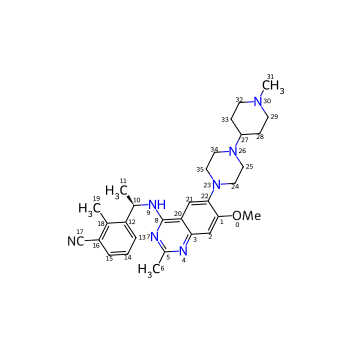 COc1cc2nc(C)nc(N[C@H](C)c3cccc(C#N)c3C)c2cc1N1CCN(C2CCN(C)CC2)CC1